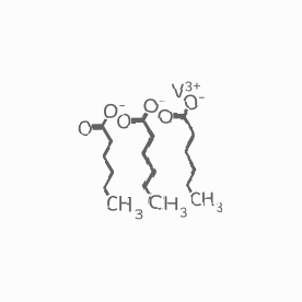 CCCCCC(=O)[O-].CCCCCC(=O)[O-].CCCCCC(=O)[O-].[V+3]